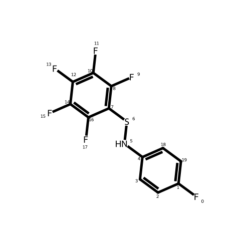 Fc1ccc(NSc2c(F)c(F)c(F)c(F)c2F)cc1